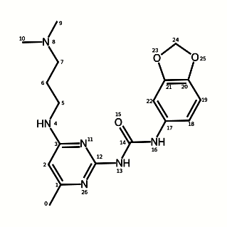 Cc1cc(NCCCN(C)C)nc(NC(=O)Nc2ccc3c(c2)OCO3)n1